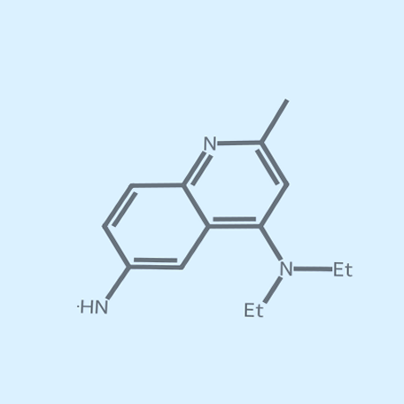 CCN(CC)c1cc(C)nc2ccc([NH])cc12